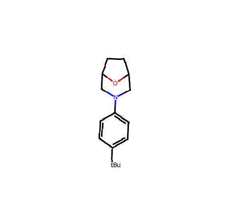 CC(C)(C)c1ccc(N2CC3CCC(C2)O3)cc1